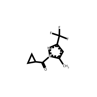 Cc1cc(C(F)(F)F)nn1C(=O)C1CC1